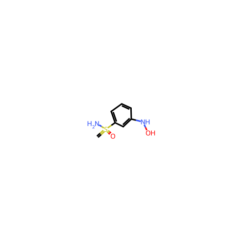 C=S(N)(=O)c1cccc(NO)c1